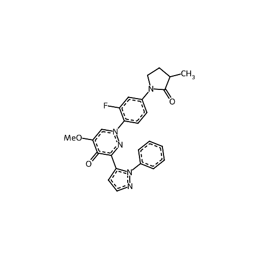 COc1cn(-c2ccc(N3CCC(C)C3=O)cc2F)nc(-c2ccnn2-c2ccccc2)c1=O